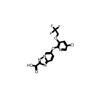 O=C(O)c1nc2ccc(Oc3ncc(Cl)cc3OCC(F)(F)F)cn2n1